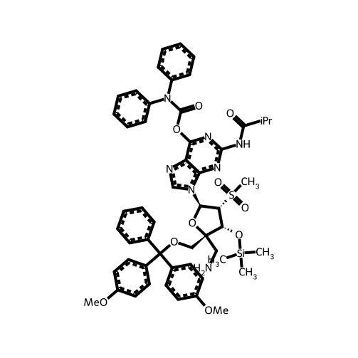 COc1ccc(C(OC[C@@]2(CN)O[C@@H](n3cnc4c(OC(=O)N(c5ccccc5)c5ccccc5)nc(NC(=O)C(C)C)nc43)[C@H](S(C)(=O)=O)[C@@H]2O[Si](C)(C)C)(c2ccccc2)c2ccc(OC)cc2)cc1